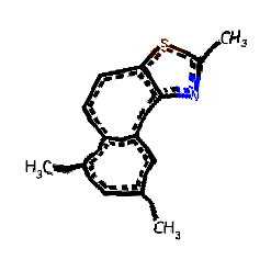 Cc1cc(C)c2ccc3sc(C)nc3c2c1